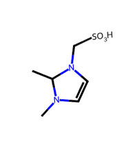 CC1N(C)C=CN1CS(=O)(=O)O